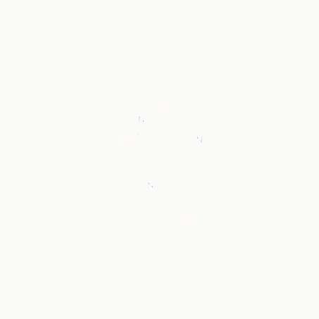 O=C1NC(=O)C2=C1c1cn(c3ccccc13)CCCC(CO)CCn1cc2c2ccccc21